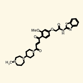 COc1cc(OCC(=O)Nc2nc3ccccc3s2)ccc1C(=O)C=CC(=O)N1CCC(N2CCCN(C)CC2)CC1